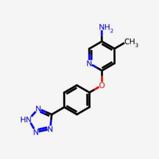 Cc1cc(Oc2ccc(-c3nn[nH]n3)cc2)ncc1N